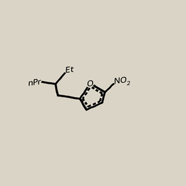 CCCC(CC)Cc1ccc([N+](=O)[O-])o1